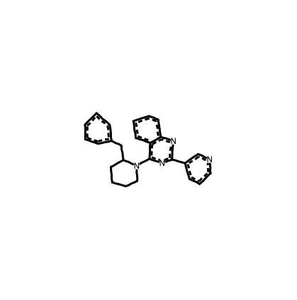 c1ccc(CC2CCCCN2c2nc(-c3cccnc3)nc3ccccc23)cc1